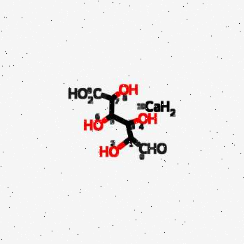 O=CC(O)C(O)C(O)C(O)C(=O)O.[CaH2]